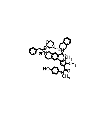 Cc1c(C(=O)N(C)c2ccc(O)cc2)cc(-c2cc3c(cc2C(=O)N2Cc4ccccc4C[C@H]2CN2CCOCC2)CN(S(=O)(=O)Cc2ccccc2)CC3)n1C